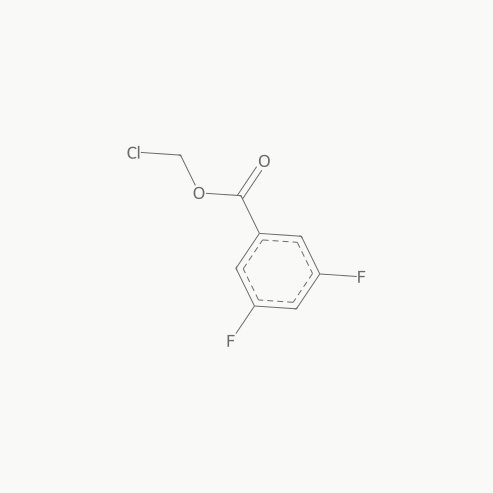 O=C(OCCl)c1cc(F)cc(F)c1